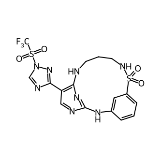 O=S1(=O)NCCCNc2nc(ncc2-c2ncn(S(=O)(=O)C(F)(F)F)n2)Nc2cccc1c2